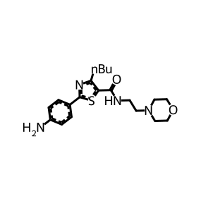 CCCCc1nc(-c2ccc(N)cc2)sc1C(=O)NCCN1CCOCC1